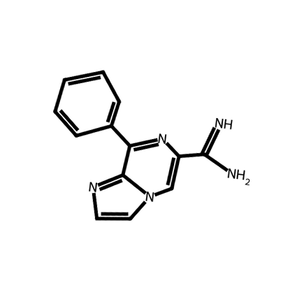 N=C(N)c1cn2ccnc2c(-c2ccccc2)n1